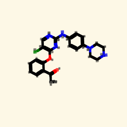 COC(=O)c1ccccc1Oc1nc(Nc2ccc(N3CCNCC3)cc2)ncc1Br